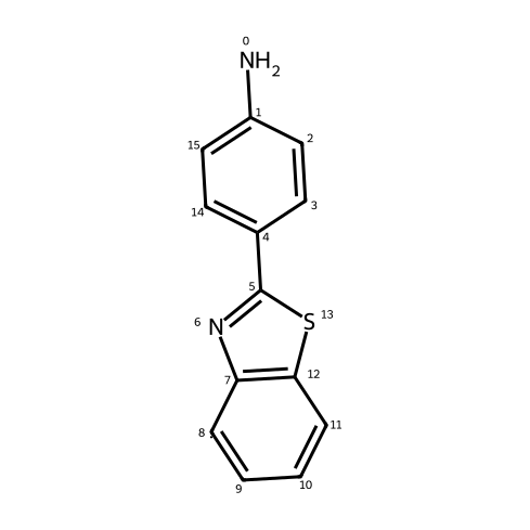 Nc1ccc(-c2nc3[c]cccc3s2)cc1